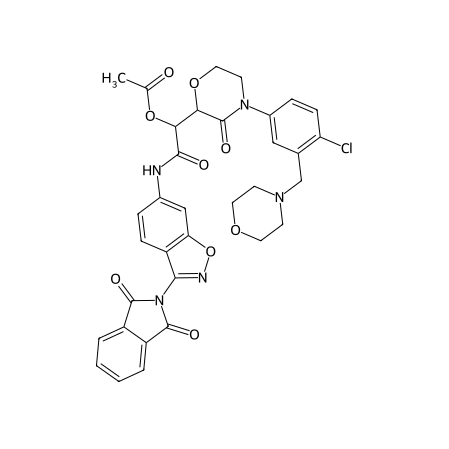 CC(=O)OC(C(=O)Nc1ccc2c(N3C(=O)c4ccccc4C3=O)noc2c1)C1OCCN(c2ccc(Cl)c(CN3CCOCC3)c2)C1=O